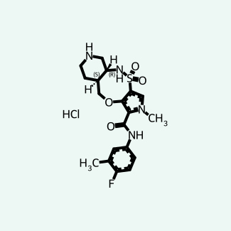 Cc1cc(NC(=O)c2c3c(cn2C)S(=O)(=O)N[C@H]2CNCC[C@@H]2CO3)ccc1F.Cl